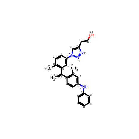 C=C(c1ccc(Nc2ccccc2)cc1C)c1cc(-n2cc(CCO)nn2)ccc1C